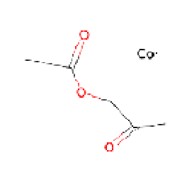 CC(=O)COC(C)=O.[Co]